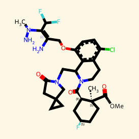 COC(=O)[C@@]1(C)CC[C@H](F)C[C@H]1C(=O)N1CCc2c(Cl)ccc(OC/C(N)=C(\C(F)F)N(C)N)c2C1CN1CC2(CC2)CC1=O